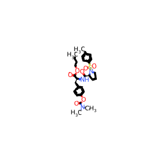 CCCCOC(=O)[C@H](Cc1ccc(OC(=O)N(C)C)cc1)NC(=O)[C@@H]1CCCN1S(=O)(=O)c1ccc(C)cc1